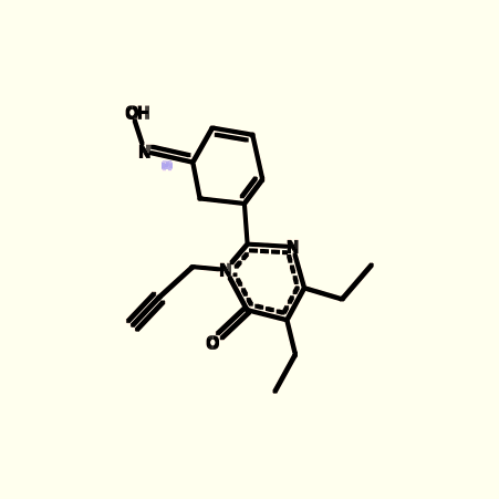 C#CCn1c(C2=CC=C/C(=N\O)C2)nc(CC)c(CC)c1=O